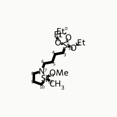 CCO[Si](CCCCN1CCC[Si]1(C)OC)(OCC)OCC